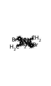 C=CCN1C[C@@H](C(O)C(O)[C@@H]2CN(CC=C)C[C@@]2(N)c2cccc(Br)c2)[C@](N)(c2cccc(Br)c2)C1